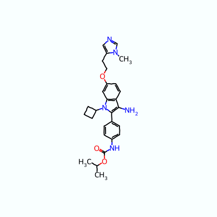 CC(C)OC(=O)Nc1ccc(-c2c(N)c3ccc(OCCc4cncn4C)cc3n2C2CCC2)cc1